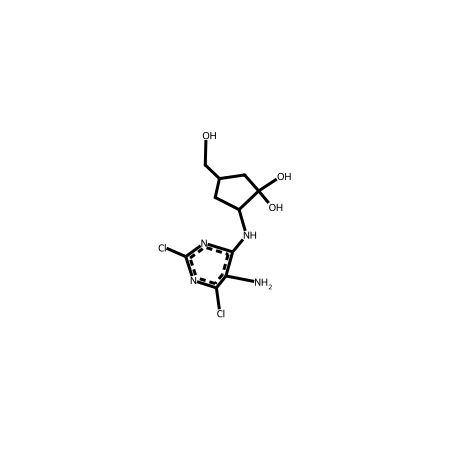 Nc1c(Cl)nc(Cl)nc1NC1CC(CO)CC1(O)O